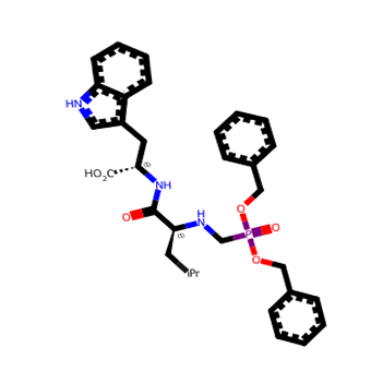 CC(C)C[C@H](NCP(=O)(OCc1ccccc1)OCc1ccccc1)C(=O)N[C@@H](Cc1c[nH]c2ccccc12)C(=O)O